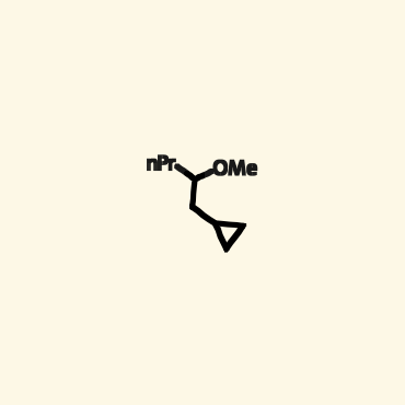 CCCC(CC1CC1)OC